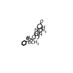 C[C@H](CS(=O)(=O)c1ccccc1)[C@H]1CC[C@H]2[C@@H]3CC[C@H]4CC(=O)CC[C@]4(C)[C@H]3CC[C@]12C